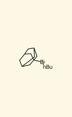 CCC[CH2][Bi][C]12CC3CC(CC(C3)C1)C2